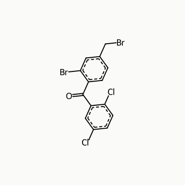 O=C(c1cc(Cl)ccc1Cl)c1ccc(CBr)cc1Br